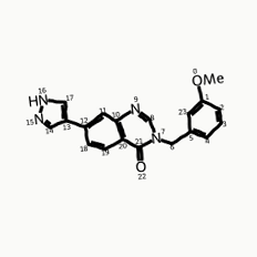 COc1cccc(Cn2cnc3cc(-c4cn[nH]c4)ccc3c2=O)c1